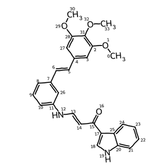 COc1cc(C=Cc2cccc(NC=CC(=O)c3c[nH]c4ccccc34)c2)cc(OC)c1OC